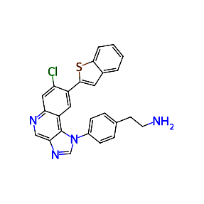 NCCc1ccc(-n2cnc3cnc4cc(Cl)c(-c5cc6ccccc6s5)cc4c32)cc1